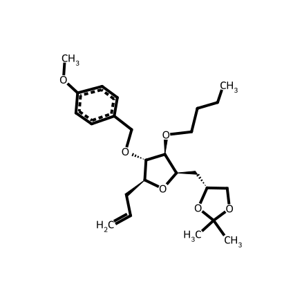 C=CC[C@@H]1O[C@H](C[C@@H]2COC(C)(C)O2)[C@H](OCCCC)[C@H]1OCc1ccc(OC)cc1